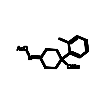 COC1(c2ccccc2C)CCC(=NOC(C)=O)CC1